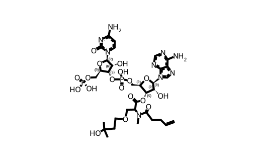 C=CCCC(=O)N(C)C(COCCC(C)(C)O)C(=O)O[C@H]1[C@@H](O)[C@H](n2cnc3c(N)ncnc32)O[C@@H]1COP(=O)(O)O[C@H]1[C@@H](O)[C@H](n2ccc(N)nc2=O)O[C@@H]1COP(=O)(O)O